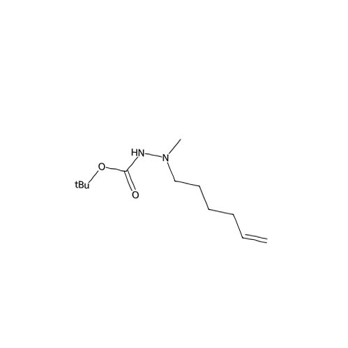 C=CCCCCN(C)NC(=O)OC(C)(C)C